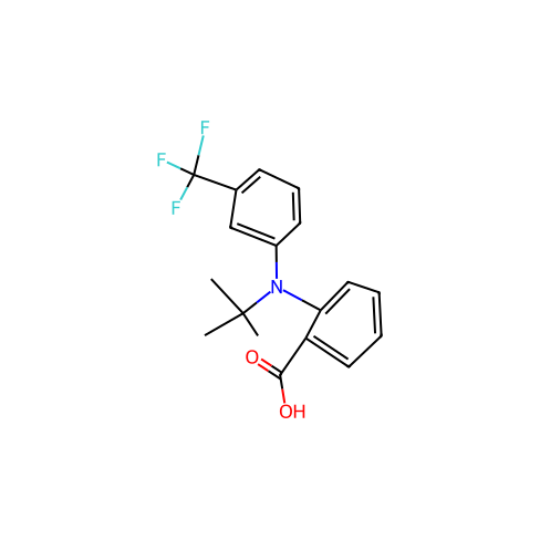 CC(C)(C)N(c1cccc(C(F)(F)F)c1)c1ccccc1C(=O)O